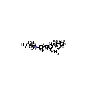 CCc1cc(C(=O)N2CCCc3ccccc3C2C)nc2cc(-c3ccc(/C=C/C(=O)OC(C)(C)C)cc3F)nn12